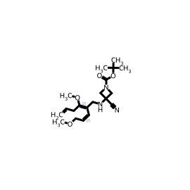 C=CC/C(OC)=C(\C=C/COC)CNC1(C#N)CN(C(=O)OC(C)(C)C)C1